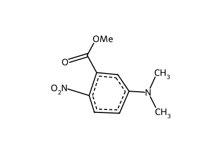 COC(=O)c1cc(N(C)C)ccc1[N+](=O)[O-]